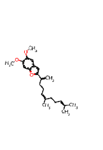 C=C(CCC=C(C)CCC=C(C)C)c1cc2cc(OC)c(OC)cc2o1